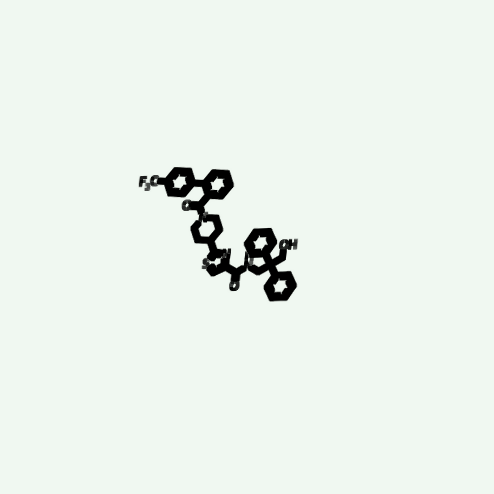 O=C(NCC(CO)(c1ccccc1)c1ccccc1)c1csc(C2CCN(C(=O)c3ccccc3-c3ccc(C(F)(F)F)cc3)CC2)n1